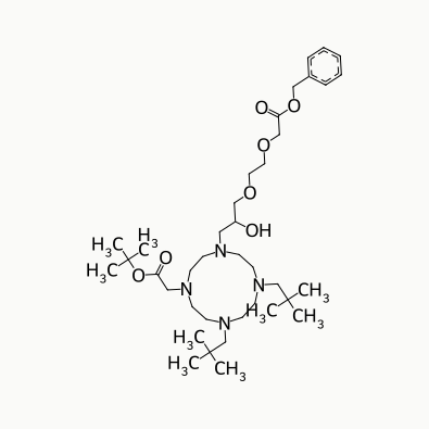 CC(C)(C)CN1CCN(CC(=O)OC(C)(C)C)CCN(CC(O)COCCOCC(=O)OCc2ccccc2)CCN(CC(C)(C)C)CC1